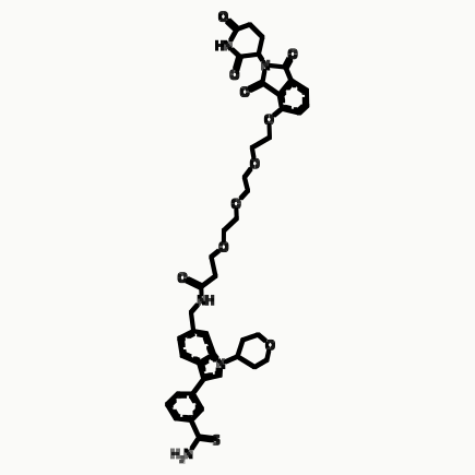 NC(=S)c1cccc(-c2cn(C3CCOCC3)c3cc(CNC(=O)CCOCCOCCOCCOc4cccc5c4C(=O)N(C4CCC(=O)NC4=O)C5=O)ccc23)c1